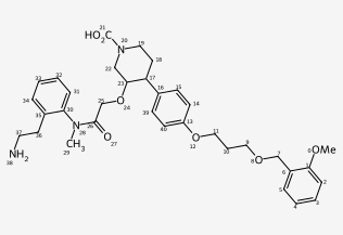 COc1ccccc1COCCCOc1ccc(C2CCN(C(=O)O)CC2OCC(=O)N(C)c2ccccc2CCN)cc1